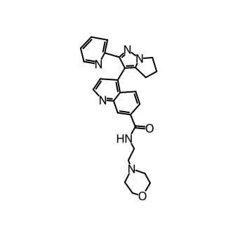 O=C(NCCN1CCOCC1)c1ccc2c(-c3c(-c4ccccn4)nn4c3CCC4)ccnc2c1